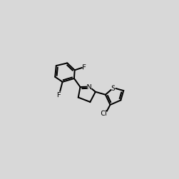 Fc1cccc(F)c1C1=NC(c2sccc2Cl)CC1